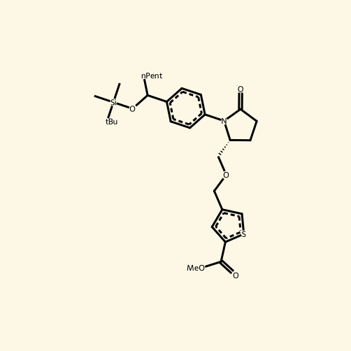 CCCCCC(O[Si](C)(C)C(C)(C)C)c1ccc(N2C(=O)CC[C@@H]2COCc2csc(C(=O)OC)c2)cc1